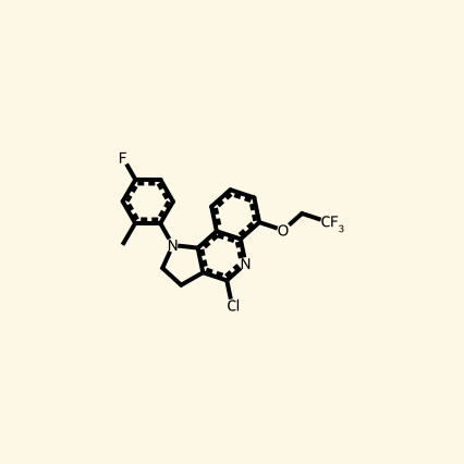 Cc1cc(F)ccc1N1CCc2c(Cl)nc3c(OCC(F)(F)F)cccc3c21